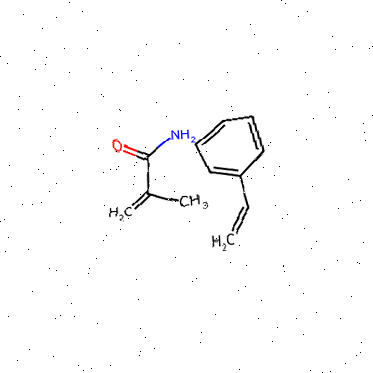 C=C(C)C(N)=O.C=Cc1ccccc1